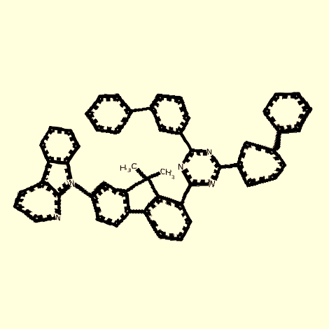 CC1(C)c2cc(-n3c4ccccc4c4cccnc43)ccc2-c2cccc(-c3nc(-c4cccc(-c5ccccc5)c4)nc(-c4cccc(-c5ccccc5)c4)n3)c21